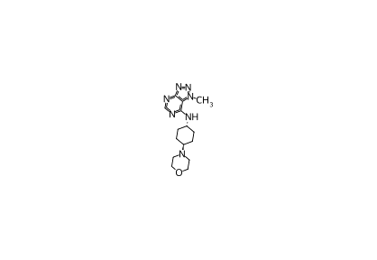 Cn1nnc2ncnc(N[C@H]3CC[C@H](N4CCOCC4)CC3)c21